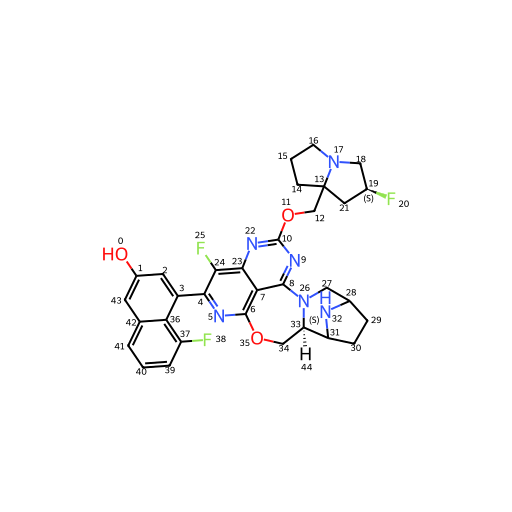 Oc1cc(-c2nc3c4c(nc(OCC56CCCN5C[C@@H](F)C6)nc4c2F)N2CC4CCC(N4)[C@H]2CO3)c2c(F)cccc2c1